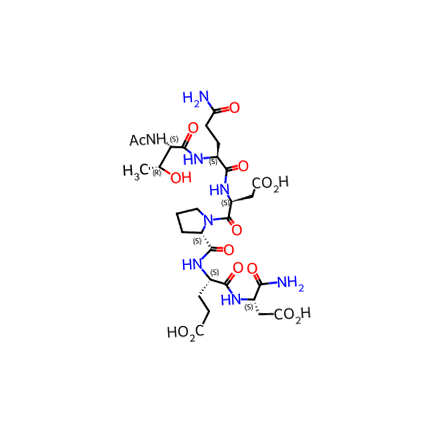 CC(=O)N[C@H](C(=O)N[C@@H](CCC(N)=O)C(=O)N[C@@H](CC(=O)O)C(=O)N1CCC[C@H]1C(=O)N[C@@H](CCC(=O)O)C(=O)N[C@@H](CC(=O)O)C(N)=O)[C@@H](C)O